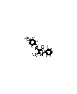 N#Cc1nn(-c2ccccc2)c(O)c1N=Nc1ccc(S)cc1